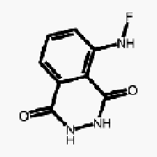 O=c1[nH][nH]c(=O)c2c(NF)cccc12